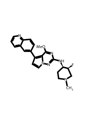 COc1nc(N[C@@H]2CCN(C)C[C@@H]2F)nn2ccc(-c3ccc4ncccc4c3)c12